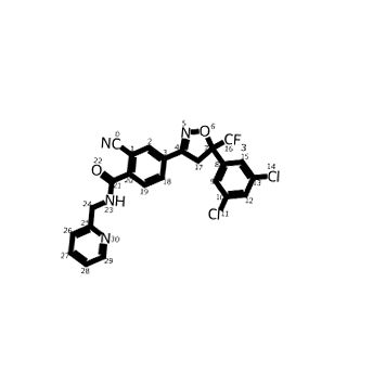 N#Cc1cc(C2=NOC(c3cc(Cl)cc(Cl)c3)(C(F)(F)F)C2)ccc1C(=O)NCc1ccccn1